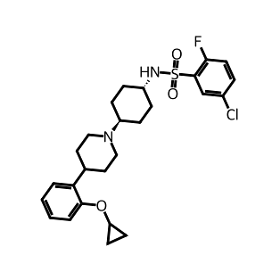 O=S(=O)(N[C@H]1CC[C@H](N2CCC(c3ccccc3OC3CC3)CC2)CC1)c1cc(Cl)ccc1F